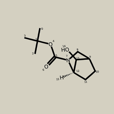 CC(C)(C)OC(=O)N1CC2CC[C@@H]1C2O